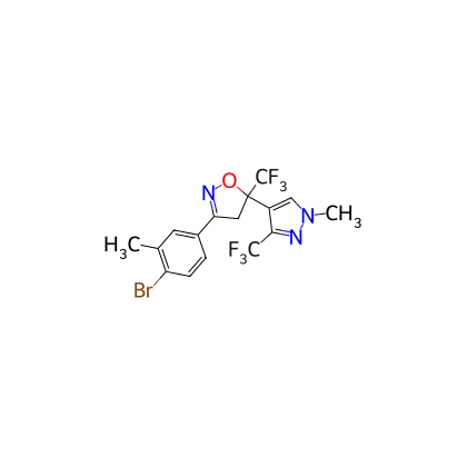 Cc1cc(C2=NOC(c3cn(C)nc3C(F)(F)F)(C(F)(F)F)C2)ccc1Br